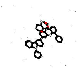 C1=CCCC(N2C3=C(C=C(C4=CC5OC6C(C7=CCCC=C7)CCCC6C6(C7=CCCCC7OC7CCC=CC76)C5CC4)CC3)C3C=CCCC32)=C1